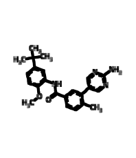 COc1ccc(C(C)(C)C)cc1NC(=O)c1ccc(C)c(-c2cnc(N)nc2)c1